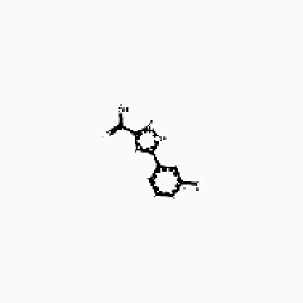 O=C(O)c1cc(-c2cccc(Cl)c2)ns1